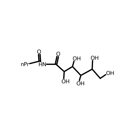 CCCC(=O)NC(=O)C(O)C(O)C(O)C(O)CO